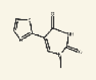 Cn1cc(-c2nccs2)c(=O)[nH]c1=O